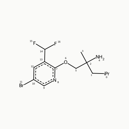 CC(C)CC(C)(N)COc1ncc(Br)cc1C(F)F